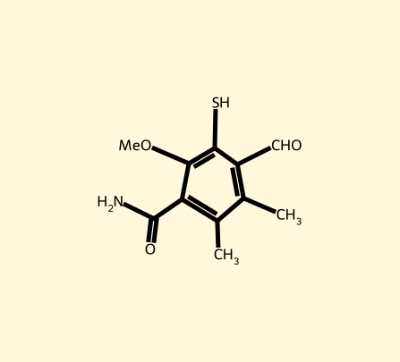 COc1c(S)c(C=O)c(C)c(C)c1C(N)=O